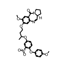 COc1ccc(Oc2ccc(OC(C)CCOc3cc4c(cc3OC)C(=O)N3CCC[C@H]3C=N4)cc2[N+](=O)[O-])cc1